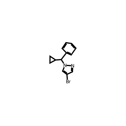 Brc1cnn(C(c2ccccc2)C2CC2)c1